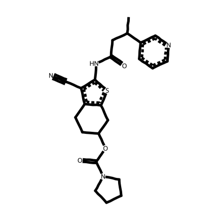 CC(CC(=O)Nc1sc2c(c1C#N)CCC(OC(=O)N1CCCC1)C2)c1cccnc1